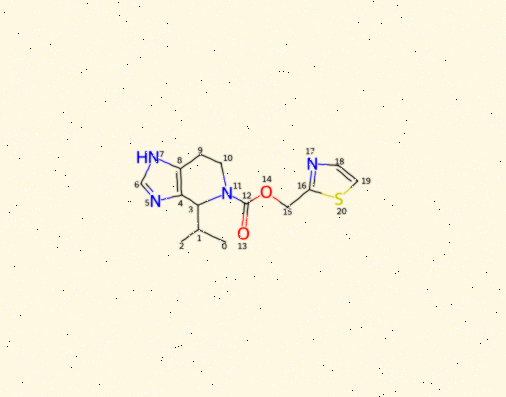 CC(C)C1c2nc[nH]c2CCN1C(=O)OCc1nccs1